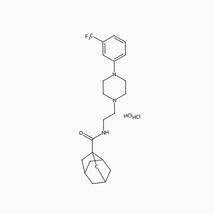 Cl.Cl.O=C(NCCN1CCN(c2cccc(C(F)(F)F)c2)CC1)C12CC3CC(CC1C3)C2